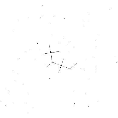 CCC(F)(F)C(O)C(F)(F)F